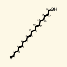 C=CCC/C=C/CC/C=C/CC/C=C/CC/C=C/CO